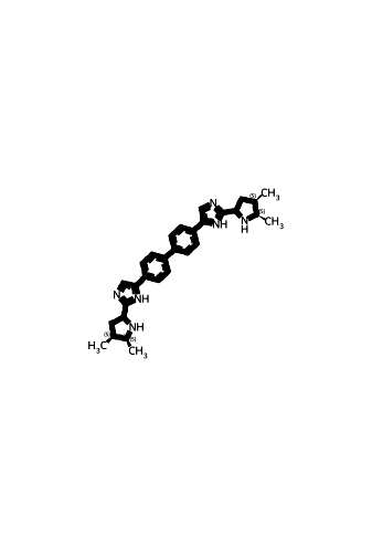 C[C@@H]1NC(c2ncc(-c3ccc(-c4ccc(-c5cnc(C6C[C@H](C)[C@H](C)N6)[nH]5)cc4)cc3)[nH]2)C[C@@H]1C